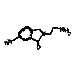 CCCc1ccc2c(c1)C(=O)N(CCN)C2